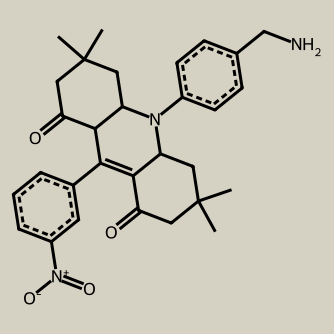 CC1(C)CC(=O)C2=C(c3cccc([N+](=O)[O-])c3)C3C(=O)CC(C)(C)CC3N(c3ccc(CN)cc3)C2C1